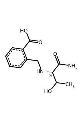 CC(O)[C@H](NCc1ccccc1C(=O)O)C(N)=O